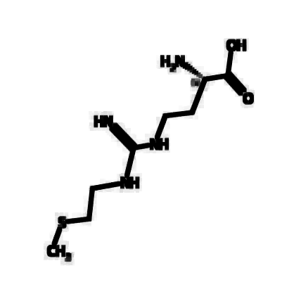 CSCCNC(=N)NCC[C@H](N)C(=O)O